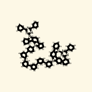 c1ccc(-c2nc(-c3ccccc3)nc(-n3c4ccccc4c4c3ccc3c5ccccc5n(-c5ccc(-c6cccc(-c7cccc(-c8cccc(-c9cccc(-c%10cccc(-n%11c%12ccccc%12c%12c%11ccc%11c%13ccccc%13n(-c%13nc(-c%14ccccc%14)nc(-c%14ccccc%14)n%13)c%11%12)c%10)c9)c8)c7)c6)cc5)c34)n2)cc1